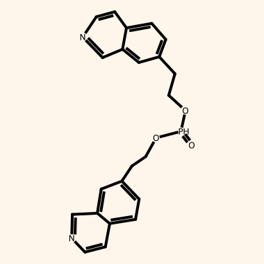 O=[PH](OCCc1ccc2ccncc2c1)OCCc1ccc2ccncc2c1